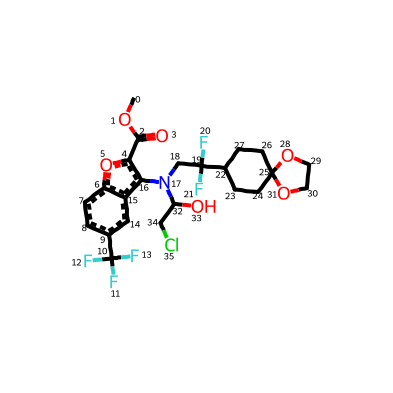 COC(=O)c1oc2ccc(C(F)(F)F)cc2c1N(CC(F)(F)C1CCC2(CC1)OCCO2)C(O)CCl